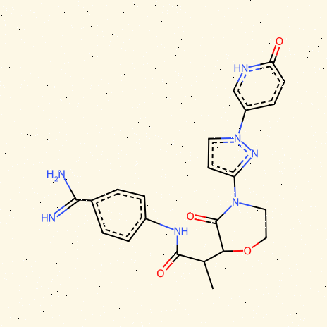 CC(C(=O)Nc1ccc(C(=N)N)cc1)C1OCCN(c2ccn(-c3ccc(=O)[nH]c3)n2)C1=O